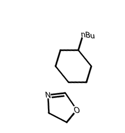 C1=NCCO1.CCCCC1CCCCC1